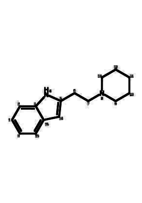 c1ccc2[nH]c(CCN3CCCCC3)cc2c1